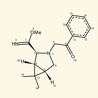 COC(=N)[C@@H]1[C@@H]2[C@H](CN1CC(=O)c1ccccc1)C2(C)C